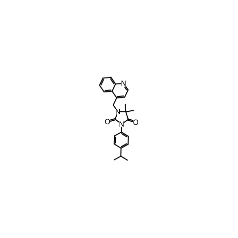 CC(C)c1ccc(N2C(=O)N(Cc3ccnc4ccccc34)C(C)(C)C2=O)cc1